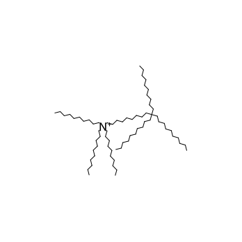 CCCCCCCCCCC(CCCCCCCCCC)(CCCCCCCCCC)CCCCCCCCC[N+](CCCCCCCCCC)(CCCCCCCCCC)CCCCCCCCCC